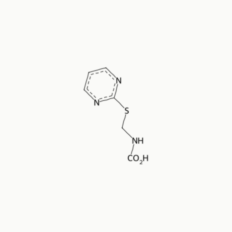 O=C(O)NCSc1ncccn1